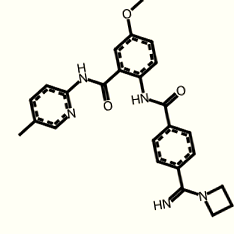 COc1ccc(NC(=O)c2ccc(C(=N)N3CCC3)cc2)c(C(=O)Nc2ccc(C)cn2)c1